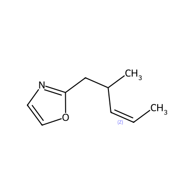 C/C=C\C(C)Cc1ncco1